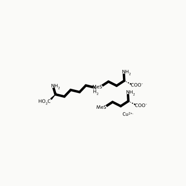 CSCC[C@H](N)C(=O)[O-].CSCC[C@H](N)C(=O)[O-].NCCCC[C@H](N)C(=O)O.[Cu+2]